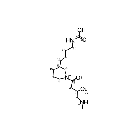 CNCC(CC(=O)N1CCC[C@@H](CCCCNC(=O)O)C1)OC